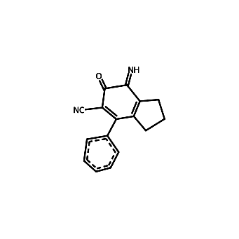 N#CC1=C(c2ccccc2)C2=C(CCC2)C(=N)C1=O